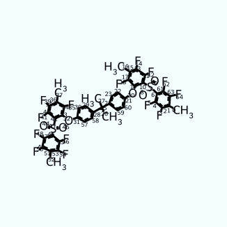 Cc1c(F)c(F)c(S(=O)(=O)c2c(F)c(F)c(C)c(F)c2Oc2ccc(C(C)(C)c3ccc(Oc4c(F)c(C)c(F)c(F)c4S(=O)(=O)c4c(F)c(F)c(C)c(F)c4F)cc3)cc2)c(F)c1F